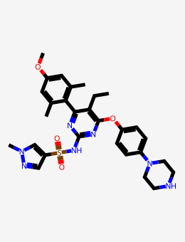 CCc1c(Oc2ccc(N3CCNCC3)cc2)nc(NS(=O)(=O)c2cnn(C)c2)nc1-c1c(C)cc(OC)cc1C